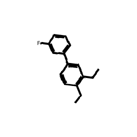 CCc1ccc(-c2cc[c]c(F)c2)cc1CC